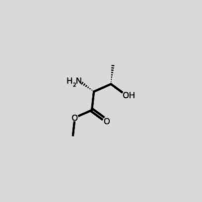 COC(=O)[C@H](N)[C@H](C)O